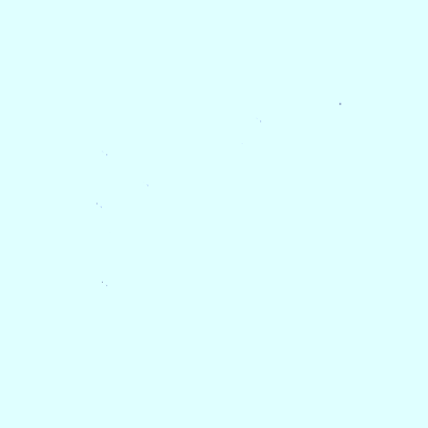 NC1=Nc2cnc(Oc3ccccc3)cc2CN1[C@@H](CCC(=O)N(CCO)C1CCCCC1)C1CCCCC1